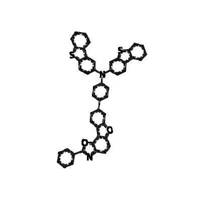 c1ccc(-c2nc3ccc4oc5cc(-c6ccc(N(c7ccc8c(c7)sc7ccccc78)c7ccc8sc9ccccc9c8c7)cc6)ccc5c4c3o2)cc1